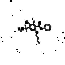 CCCCOc1cc(C(C)(C)N)c(Cl)c(C)c1C(=O)Oc1ccccc1